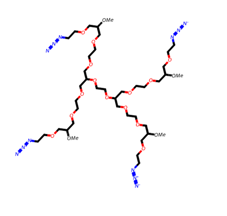 COC(COCCN=[N+]=[N-])COCCOCC(COCCOCC(COCCN=[N+]=[N-])OC)OCCOC(COCCOCC(COCCN=[N+]=[N-])OC)COCCOCC(COCCN=[N+]=[N-])OC